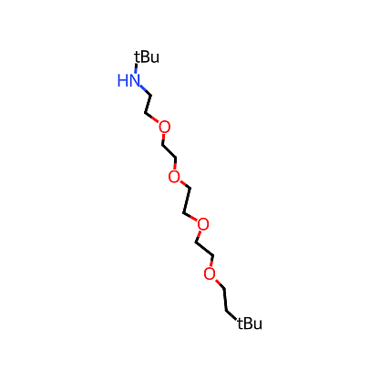 CC(C)(C)CCOCCOCCOCCOCCNC(C)(C)C